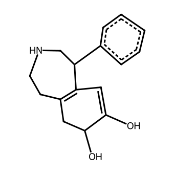 OC1=CC2=C(CCNCC2c2ccccc2)CC1O